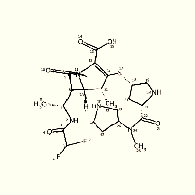 C[C@@H](NC(=O)C(F)F)[C@H]1C(=O)N2C(C(=O)O)=C(S[C@@H]3CN[C@H](C(=O)N(C)C4CCNC4)C3)[C@H](C)[C@H]12